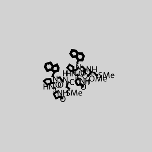 COC(=O)[C@H](CCSC)NC(=O)CN(Cc1cccc2ccccc12)CC1(NC(=O)[C@@H]2CCC(=O)N2)CCCC1.CSCC[C@H](NC(=O)CN(Cc1cccc2ccccc12)CC1(NC(=O)[C@@H]2CCC(=O)N2)CCCC1)C(=O)O